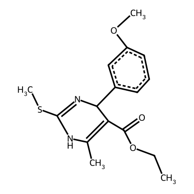 CCOC(=O)C1=C(C)NC(SC)=NC1c1cccc(OC)c1